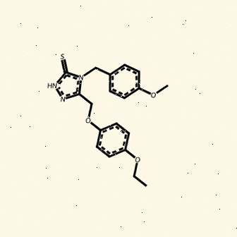 CCOc1ccc(OCc2n[nH]c(=S)n2Cc2ccc(OC)cc2)cc1